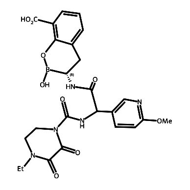 CCN1CCN(C(=O)NC(C(=O)N[C@H]2Cc3cccc(C(=O)O)c3OB2O)c2ccc(OC)nc2)C(=O)C1=O